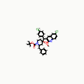 COc1nc2ccc(Cl)cc2cc1C(c1ccc(Cl)cc1)C1(O)CCN(C(=O)OC(C)(C)C)C(Cc2ccccc2)C1